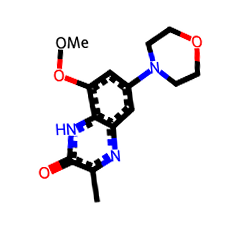 COOc1cc(N2CCOCC2)cc2nc(C)c(=O)[nH]c12